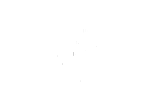 O=CC1N=C(N(CC2OCCO2)c2ccc(Cl)cc2)Sc2ncccc21